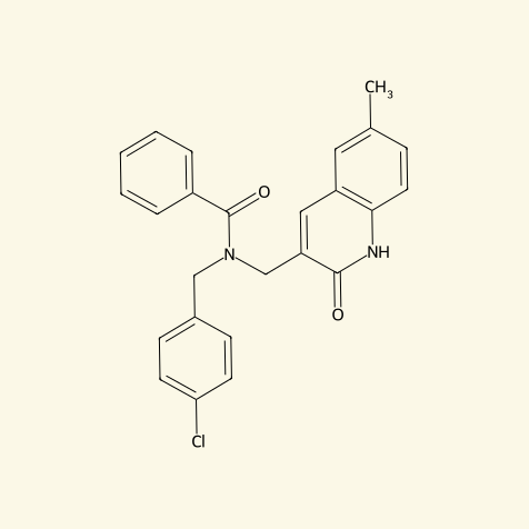 Cc1ccc2[nH]c(=O)c(CN(Cc3ccc(Cl)cc3)C(=O)c3ccccc3)cc2c1